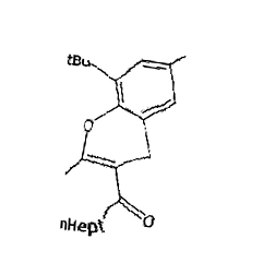 CCCCCCCC(=O)C1=C(C)Oc2c(cc(C)cc2C(C)(C)C)C1